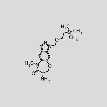 CN1C(=O)[C@@H](N)COc2cc3c(cnn3COCC[Si](C)(C)C)cc21